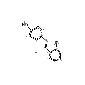 CC[n+]1ccccc1C=Cc1ccc(O)cc1.[I-]